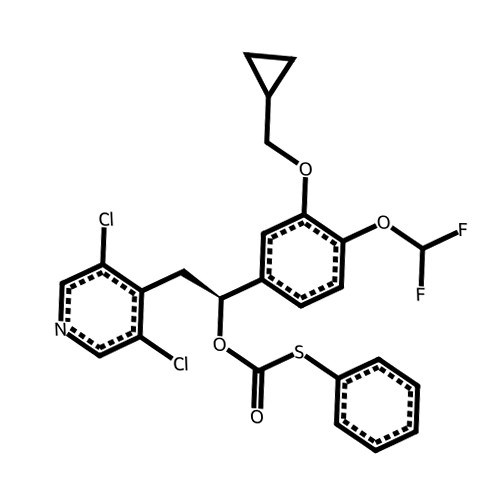 O=C(O[C@@H](Cc1c(Cl)cncc1Cl)c1ccc(OC(F)F)c(OCC2CC2)c1)Sc1ccccc1